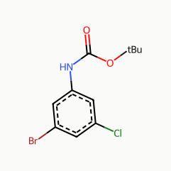 CC(C)(C)OC(=O)Nc1cc(Cl)cc(Br)c1